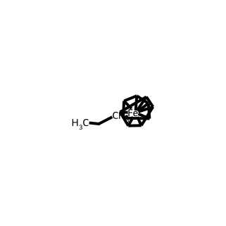 CCC.[CH]12[CH]3[CH]4[CH]5[CH]1[Fe]23451678[CH]2[CH]1[CH]6[CH]7[CH]28